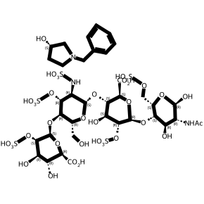 CC(=O)N[C@@H]1[C@@H](O)[C@H](O[C@@H]2O[C@H](C(=O)O)[C@@H](O[C@@H]3O[C@H](CO)[C@@H](O[C@H]4O[C@@H](C(=O)O)[C@H](O)[C@@H](O)[C@@H]4OS(=O)(=O)O)[C@H](OS(=O)(=O)O)[C@H]3NS(=O)(=O)O)[C@H](O)[C@H]2OS(=O)(=O)O)[C@H](COS(=O)(=O)O)O[C@H]1O.O[C@H]1CCN(Cc2ccccc2)C1